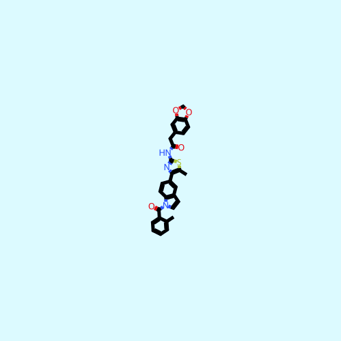 Cc1ccccc1C(=O)n1ccc2cc(-c3nc(NC(=O)Cc4ccc5c(c4)OCO5)sc3C)ccc21